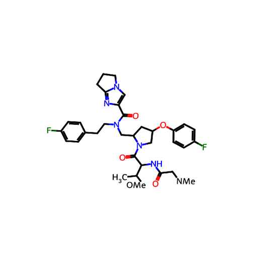 CNCC(=O)NC(C(=O)N1CC(Oc2ccc(F)cc2)CC1CN(CCc1ccc(F)cc1)C(=O)c1cn2c(n1)CCC2)C(C)OC